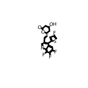 O=C1C[C@H](O)C[C@@H](C=Cc2cnc3c(F)c(F)c(F)cc3c2-c2cc(F)cs2)O1